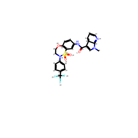 Cn1cc(C(=O)Nc2ccc3c(c2)S(=O)(=O)N(c2ccc(C(F)(F)F)cc2)CCO3)c2cccnc21